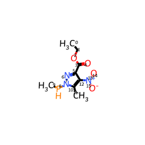 CCOC(=O)c1nn(PC)c(C)c1[N+](=O)[O-]